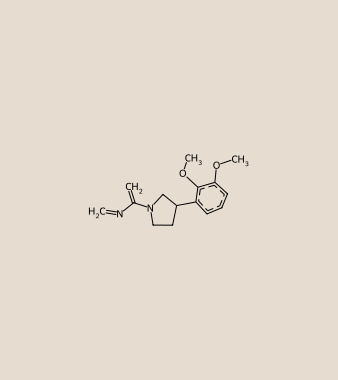 C=NC(=C)N1CCC(c2cccc(OC)c2OC)C1